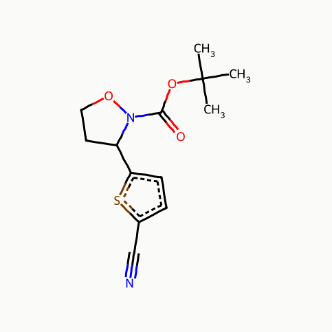 CC(C)(C)OC(=O)N1OCCC1c1ccc(C#N)s1